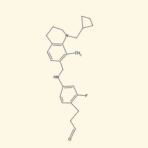 Cc1c(CNc2ccc(CCC=O)c(F)c2)ccc2c1N(CC1CCC1)CCC2